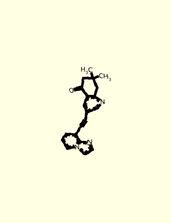 CC1(C)CC(=O)c2cc(C#Cc3cccn4ccnc34)cnc2C1